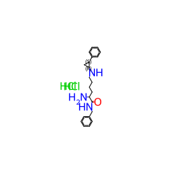 Cl.Cl.NC(CCCCN[C@@H]1C[C@H]1c1ccccc1)C(=O)NCc1ccccc1